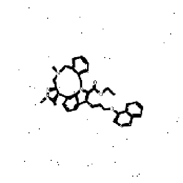 CCOC(=O)c1c(CCCOc2cccc3ccccc23)c2cccc3c2n1Cc1ccccc1CN(C)Cc1nn(C)c(C)c1-3